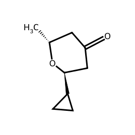 C[C@@H]1CC(=O)C[C@@H](C2CC2)O1